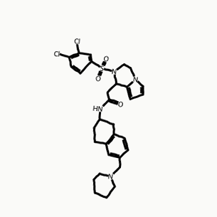 O=C(CC1c2cccn2CCN1S(=O)(=O)c1ccc(Cl)c(Cl)c1)NC1CCc2cc(CN3CCCCC3)ccc2C1